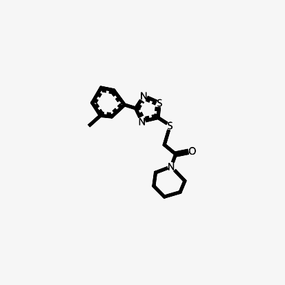 Cc1cccc(-c2nsc(SCC(=O)N3CCCCC3)n2)c1